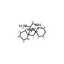 NC1(CC2(N)CCCCC2)CCCCC1.NCCN